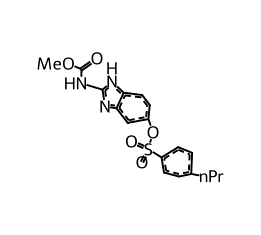 CCCc1ccc(S(=O)(=O)Oc2ccc3[nH]c(NC(=O)OC)nc3c2)cc1